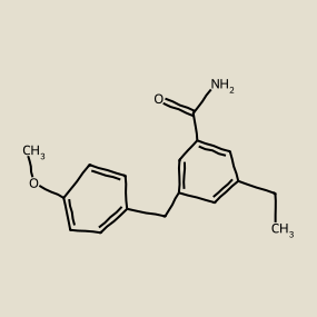 CCc1cc(Cc2ccc(OC)cc2)cc(C(N)=O)c1